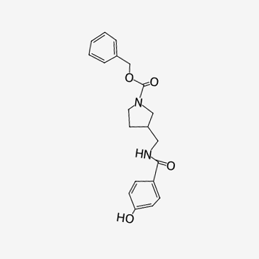 O=C(NCC1CCN(C(=O)OCc2ccccc2)C1)c1ccc(O)cc1